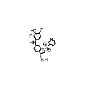 CNCc1cn(S(=O)(=O)c2cccnc2)c2cc(Nc3ccc(F)c(OC)c3F)ccc12